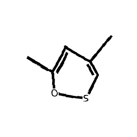 CC1=CSOC(C)=C1